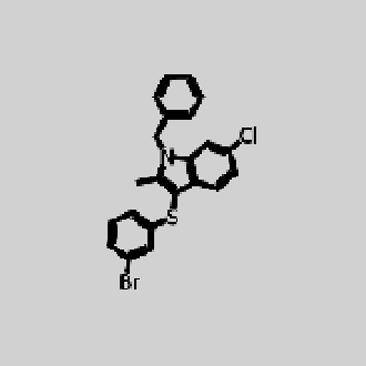 Cc1c(Sc2cccc(Br)c2)c2ccc(Cl)cc2n1Cc1ccccc1